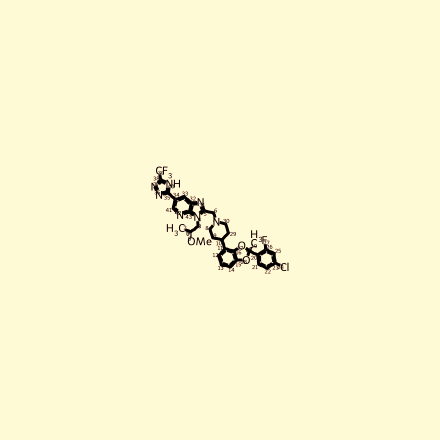 CO[C@H](C)Cn1c(CN2CCC(c3cccc4c3O[C@@](C)(c3ccc(Cl)cc3F)O4)CC2)nc2cc(-c3nnc(C(F)(F)F)[nH]3)cnc21